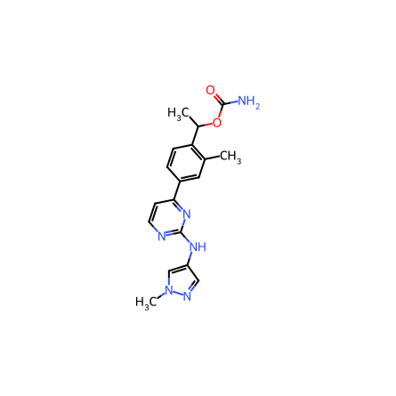 Cc1cc(-c2ccnc(Nc3cnn(C)c3)n2)ccc1C(C)OC(N)=O